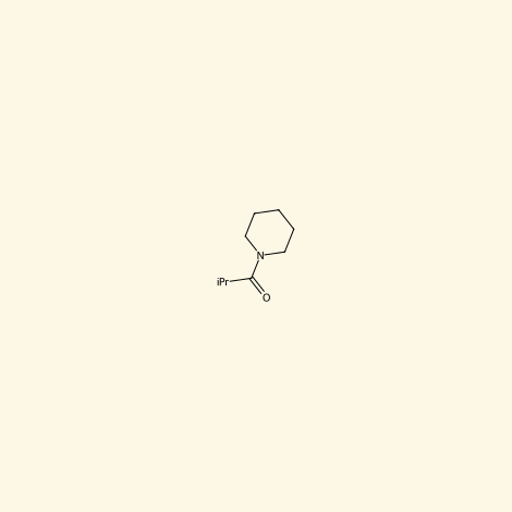 [CH2]C(C)C(=O)N1CCCCC1